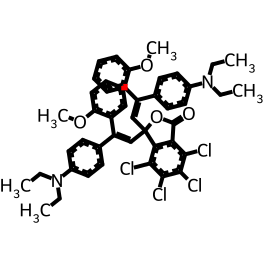 CCN(CC)c1ccc(C(=CC2(C=C(c3ccc(N(CC)CC)cc3)c3ccccc3OC)OC(=O)c3c(Cl)c(Cl)c(Cl)c(Cl)c32)c2ccccc2OC)cc1